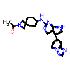 CC(=O)N1CC2(CCC(Nc3ncc4c(-c5ccn6ncnc6c5)c[nH]c4n3)CC2)C1